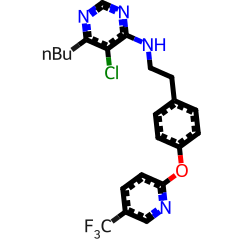 CCCCc1ncnc(NCCc2ccc(Oc3ccc(C(F)(F)F)cn3)cc2)c1Cl